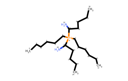 CCCCCC[PH](CCCCCC)(C(N)CCCC)C(N)CCCC